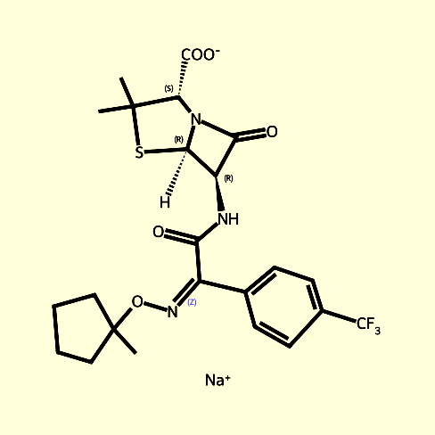 CC1(O/N=C(\C(=O)N[C@@H]2C(=O)N3[C@@H]2SC(C)(C)[C@@H]3C(=O)[O-])c2ccc(C(F)(F)F)cc2)CCCC1.[Na+]